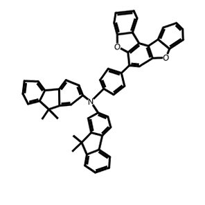 CC1(C)c2ccccc2-c2ccc(N(c3ccc(-c4cc5oc6ccccc6c5c5c4oc4ccccc45)cc3)c3ccc4c(c3)C(C)(C)c3ccccc3-4)cc21